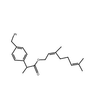 CC(C)=CCCC(C)=CCOC(=O)C(C)c1ccc(CC(C)C)cc1